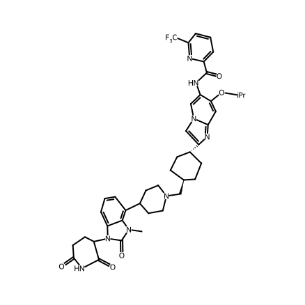 CC(C)Oc1cc2nc([C@H]3CC[C@H](CN4CCC(c5cccc6c5n(C)c(=O)n6C5CCC(=O)NC5=O)CC4)CC3)cn2cc1NC(=O)c1cccc(C(F)(F)F)n1